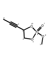 CC#CC1COP(=O)(OC)O1